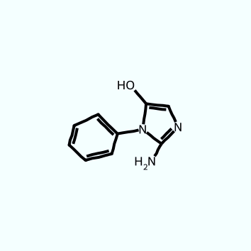 Nc1ncc(O)n1-c1ccccc1